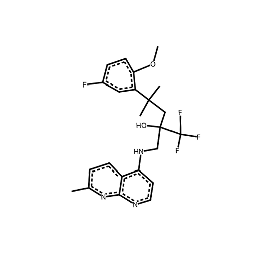 COc1ccc(F)cc1C(C)(C)CC(O)(CNc1ccnc2nc(C)ccc12)C(F)(F)F